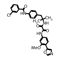 COc1cc(NC(=O)C(=O)NC(C)(C)Cc2ccc(NC(=O)c3cccc(Cl)c3)cc2)ccc1-c1cnco1